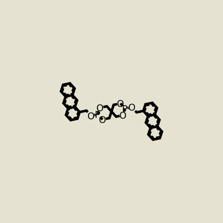 c1ccc2cc3c(COP4OCC5(CO4)COP(OCc4cccc6cc7ccccc7cc46)OC5)cccc3cc2c1